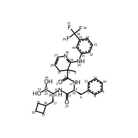 CC1(C(=O)N[C@@H](Cc2ccccc2)C(=O)N[C@@H](CC2CCC2)B(O)O)CC=CN=C1Nc1cccc(C(F)(F)F)c1